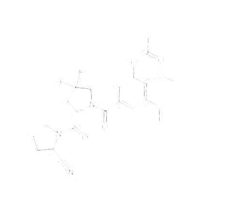 COc1cc(C(=O)N2CC(F)(F)C[C@H]2C(=O)N2CCCC2C#N)cc(OC(C)=O)c1OC